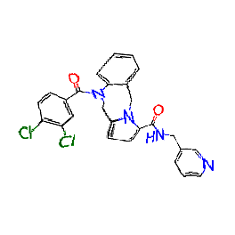 O=C(NCc1cccnc1)c1ccc2n1Cc1ccccc1N(C(=O)c1ccc(Cl)c(Cl)c1)C2